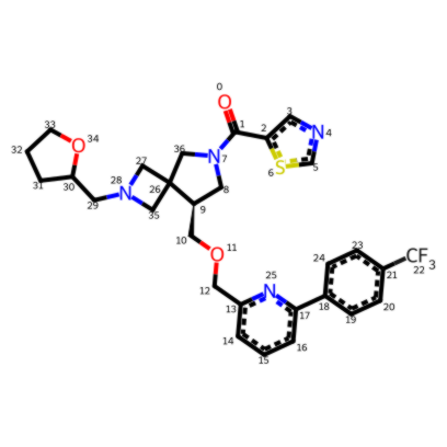 O=C(c1cncs1)N1C[C@@H](COCc2cccc(-c3ccc(C(F)(F)F)cc3)n2)C2(CN(CC3CCCO3)C2)C1